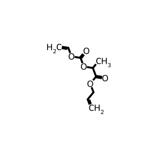 C=CCOC(=O)C(C)OC(=O)OC=C